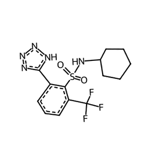 O=S(=O)(NC1CCCCC1)c1c(-c2nnn[nH]2)cccc1C(F)(F)F